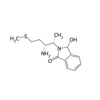 CSCC[C@@H](N)[C@H](C)N1C(=O)c2ccccc2C1O